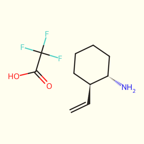 C=C[C@H]1CCCC[C@@H]1N.O=C(O)C(F)(F)F